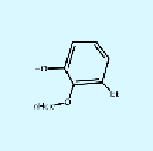 CCCCCCOc1c(O)cccc1CC